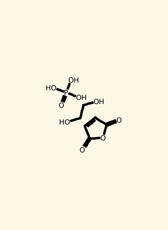 O=C1C=CC(=O)O1.O=P(O)(O)O.OCCO